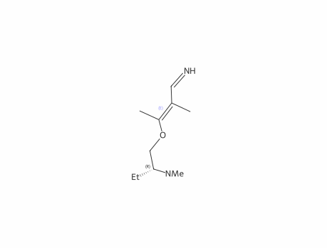 CC[C@H](CO/C(C)=C(\C)C=N)NC